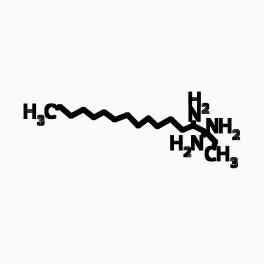 CCCCCCCCCCCCCC(N)C(N)(N)CC